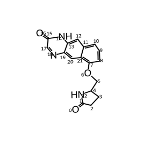 O=C1CCC(COc2cccc3cc4[nH]c(=O)cnc4cc23)N1